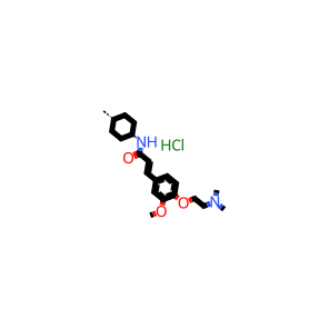 COc1cc(/C=C/C(=O)N[C@H]2CC[C@@H](C)CC2)ccc1OCCN(C)C.Cl